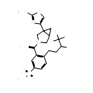 C=C(c1cc(S(C)(=O)=O)ccc1CCC(C)C(F)(F)F)N1CC2CC2(c2csc(C)n2)C1